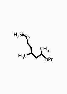 CCCC(C)CC(C)CCO[SiH3]